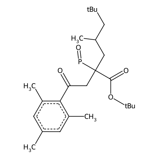 Cc1cc(C)c(C(=O)CC(CC(C)CC(C)(C)C)(P=O)C(=O)OC(C)(C)C)c(C)c1